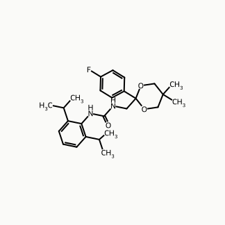 CC(C)c1cccc(C(C)C)c1NC(=O)NCC1(c2ccc(F)cc2)OCC(C)(C)CO1